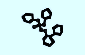 O=P(OOc1ccccc1-c1ccccc1)(Oc1ccccc1)Oc1ccccc1